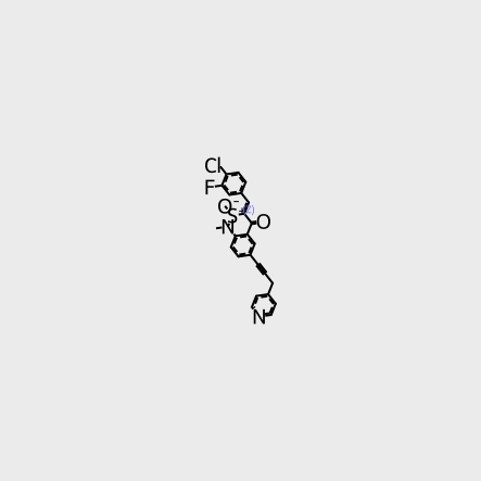 CN1c2ccc(C#CCc3ccncc3)cc2C(=O)/C(=C/c2ccc(Cl)c(F)c2)[S+]1[O-]